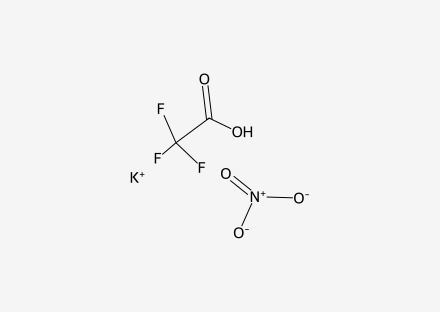 O=C(O)C(F)(F)F.O=[N+]([O-])[O-].[K+]